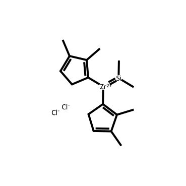 CC1=CC[C]([Zr+2]([C]2=C(C)C(C)=CC2)=[Si](C)C)=C1C.[Cl-].[Cl-]